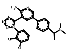 CC(c1ccc(-c2cnc(N)c(-c3nnnn3-c3cccc(Cl)c3Cl)c2)cc1)N(C)C